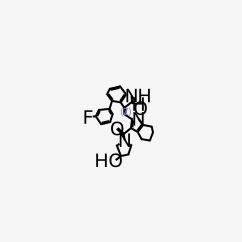 O=C1Nc2cccc(-c3cccc(F)c3)c2/C1=C/c1[nH]c2c(c1C(=O)N1CCC(O)C1)CCCC2